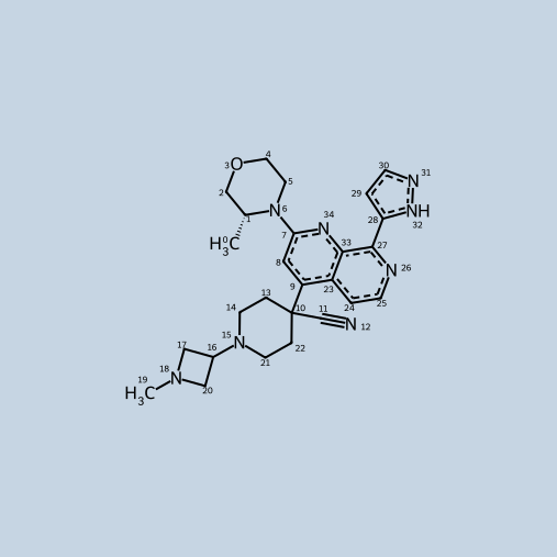 C[C@@H]1COCCN1c1cc(C2(C#N)CCN(C3CN(C)C3)CC2)c2ccnc(-c3ccn[nH]3)c2n1